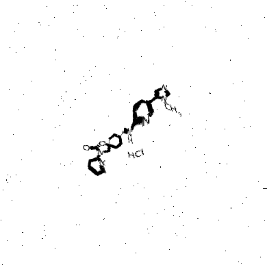 Cl.Cn1cncc1-c1ccc(NC[C@H]2CC[C@]3(CC2)CN(c2ccccn2)C(=O)O3)nc1